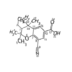 CCC1C(C)(C)Oc2c(C#N)cc(C(=O)O)cc2C1(C)C